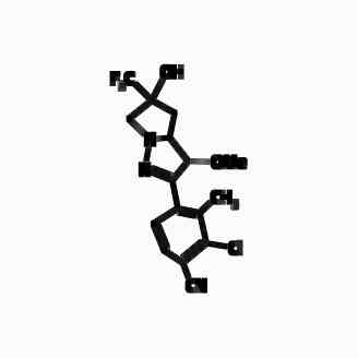 COC1C(c2ccc(C#N)c(Cl)c2C)=NN2CC(O)(C(F)(F)F)CC12